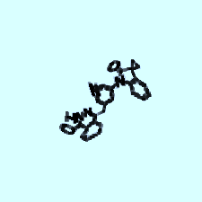 O=C1N(c2cncc(Cc3n[nH]c(=O)c4ccccc34)c2)c2ccccc2C12CC2